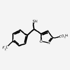 O=C(O)c1cc(C(S)c2ccc(C(F)(F)F)cc2)on1